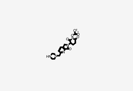 O=C1CCC(N2Cc3ccc(CN4CCNCC4)nc3C2=O)C(=O)N1OC(=O)C(F)(F)F